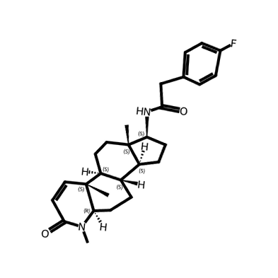 CN1C(=O)C=C[C@]2(C)[C@H]3CC[C@]4(C)[C@@H](NC(=O)Cc5ccc(F)cc5)CC[C@H]4[C@@H]3CC[C@@H]12